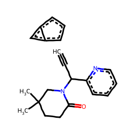 C#CC(c1ccccn1)N1CC(C)(C)CCC1=O.c1cc2cc-2c1